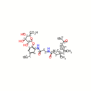 CC(C)(C)Cc1ccc(O[C@@H]2O[C@H](C(=O)O)[C@@H](O)[C@H](O)[C@H]2O)c(NC(=O)CCNC(=O)CCC(C)(C)CC(C)(C)CCC(=O)C(C)(C)C)c1